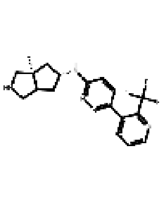 FC(F)(F)c1ncccc1-c1ccc(N[C@@H]2CC3CNC[C@H]3C2)nn1